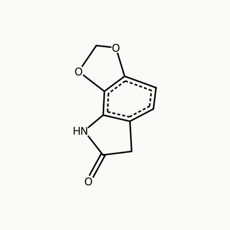 O=C1Cc2ccc3c(c2N1)OCO3